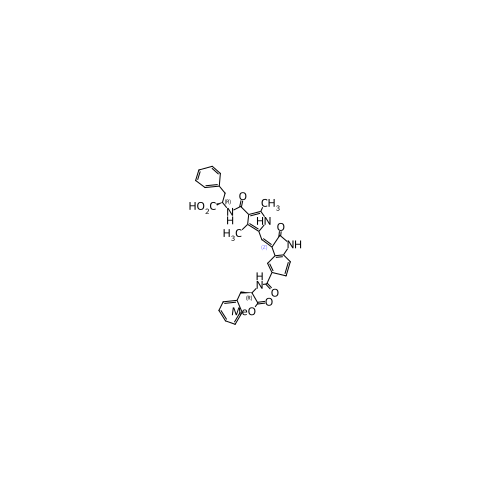 COC(=O)[C@@H](Cc1ccccc1)NC(=O)c1ccc2c(c1)/C(=C/c1[nH]c(C)c(C(=O)N[C@H](Cc3ccccc3)C(=O)O)c1C)C(=O)N2